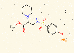 COC(=O)C(CNS(=O)(=O)c1ccc(OP)cc1)N1CCCCC1